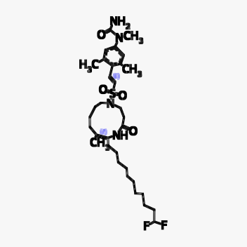 C/C1=C(\CCCCCCCCCCC(F)F)NC(=O)CCN(S(=O)(=O)/C=C/c2c(C)cc(N(C)C(N)=O)cc2C)CCCC1